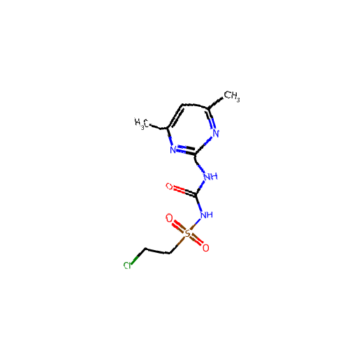 Cc1cc(C)nc(NC(=O)NS(=O)(=O)CCCl)n1